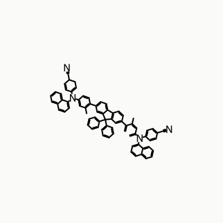 C=C(/C(C)=C\C(=C)N(c1ccc(C#N)cc1)c1cccc2ccccc12)c1ccc2c(c1)C(c1ccccc1)(c1ccccc1)c1cc(-c3ccc(N(C4=CCC(C#N)C=C4)c4cccc5ccccc45)cc3C)ccc1-2